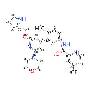 Cc1ccc(NC(=O)c2cc(C(F)(F)F)ccn2)cc1-c1cc(OC[C@@H]2CCCN2)nc(N2CCOCC2)c1